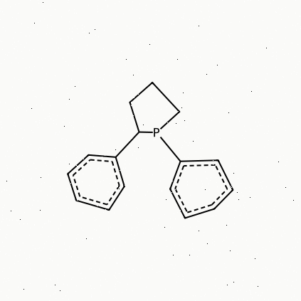 c1ccc(C2CCCP2c2ccccc2)cc1